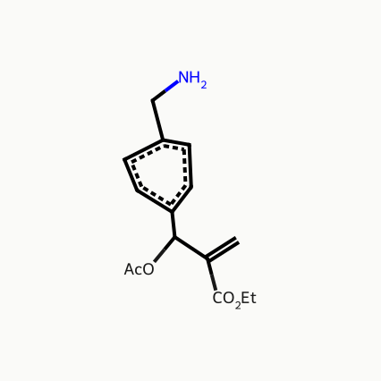 C=C(C(=O)OCC)C(OC(C)=O)c1ccc(CN)cc1